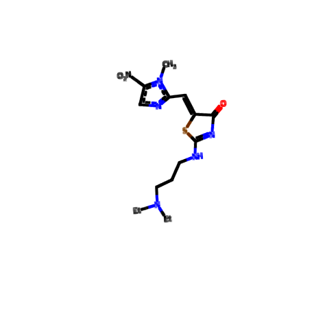 CCN(CC)CCCNC1=NC(=O)/C(=C/c2ncc([N+](=O)[O-])n2C)S1